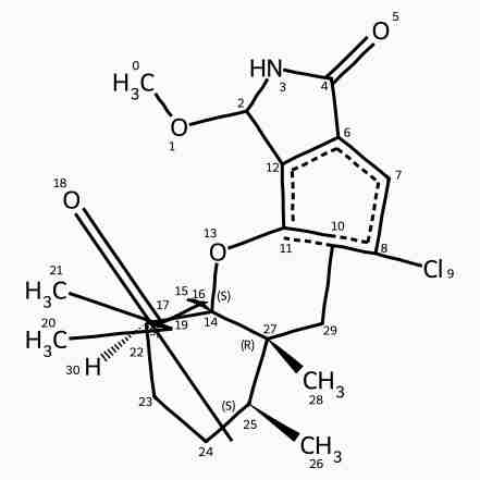 COC1NC(=O)c2cc(Cl)c3c(c21)O[C@@]12CCC(=O)C(C)(C)[C@@H]1CC[C@H](C)[C@@]2(C)C3